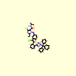 CCc1nc(Cl)c(C(=O)NC(C)C)n1Cc1ccc2oc(-c3ccccc3-c3nnn(C(c4ccccc4)(c4ccccc4)c4ccccc4)n3)c(Br)c2c1